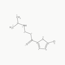 CC(C)NCCC(=O)c1ccc(Cl)s1